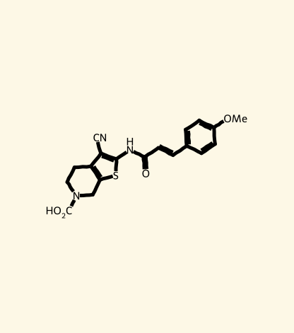 COc1ccc(C=CC(=O)Nc2sc3c(c2C#N)CCN(C(=O)O)C3)cc1